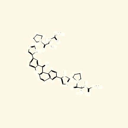 COC(=O)N[C@H](C(=O)N1CCC[C@H]1c1ncc(-c2ccc3c(ccc4oc5ccc(-c6cnc([C@@H]7CCCN7C(=O)[C@@H](NC(=O)OC)C(C)C)[nH]6)cc5c(=O)c43)c2)[nH]1)C(C)C